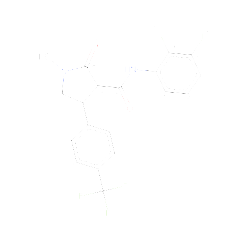 CN1CC(c2ccc(C(F)(F)F)cc2)C(C(=O)Nc2cccc(F)c2F)C1=O